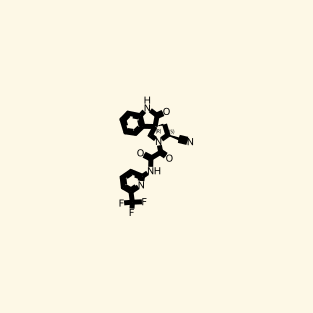 N#C[C@@H]1C[C@@]2(CN1C(=O)C(=O)Nc1cccc(C(F)(F)F)n1)C(=O)Nc1ccccc12